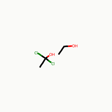 CC(O)(Cl)Cl.CCO